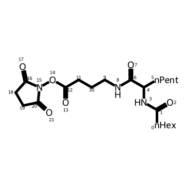 CCCCCCC(=O)NC(CCCCC)C(=O)NCCCC(=O)ON1C(=O)CCC1=O